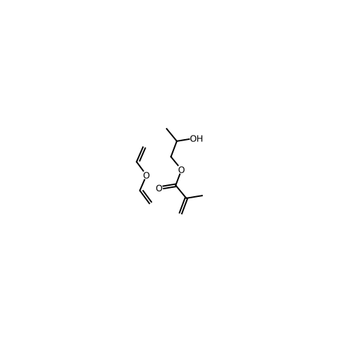 C=C(C)C(=O)OCC(C)O.C=COC=C